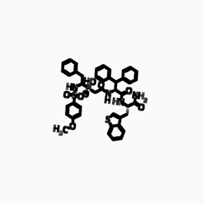 COc1ccc(S(=O)(=O)NC(Cc2ccccc2)P(=O)(O)CC(=O)N[C@H](C(=O)N[C@@H](Cc2csc3ccccc23)C(N)=O)C(c2ccccc2)c2ccccc2)cc1